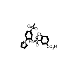 CCc1ccc(C(=O)O)cc1S(=O)(=O)Nc1cc(S(C)(=O)=O)ccc1-n1cccc1